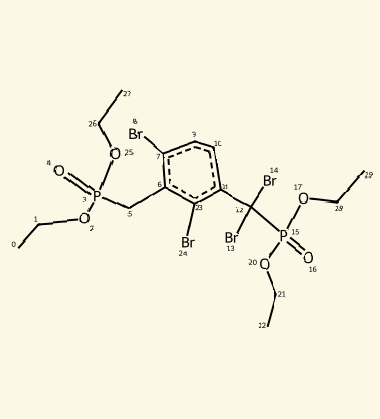 CCOP(=O)(Cc1c(Br)ccc(C(Br)(Br)P(=O)(OCC)OCC)c1Br)OCC